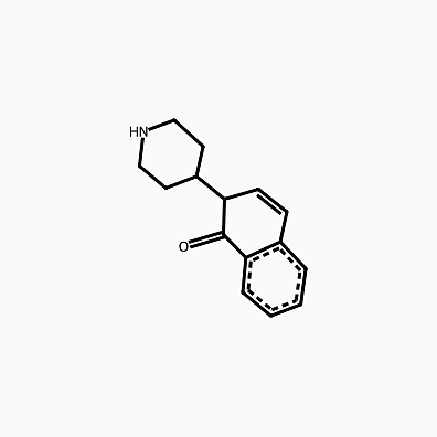 O=C1c2ccccc2C=CC1C1CCNCC1